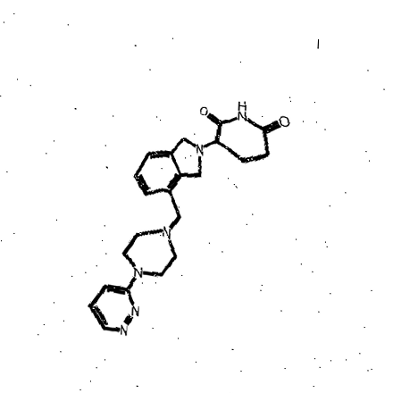 O=C1CCC(N2Cc3cccc(CN4CCN(c5cccnn5)CC4)c3C2)C(=O)N1